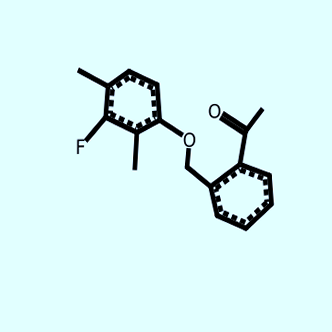 CC(=O)c1ccccc1COc1ccc(C)c(F)c1C